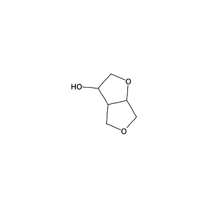 OC1COC2COCC12